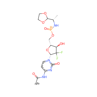 CCCC(=O)Nc1ccn([C@@H]2O[C@H](CO[PH](=O)N[C@@H](C)C3OCCO3)[C@@H](O)C2(F)F)c(=O)n1